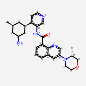 C[C@@H]1C[C@H](N)C[C@H](c2ccncc2NC(=O)c2cccc3cc(N4CCOC[C@H]4C)cnc23)C1